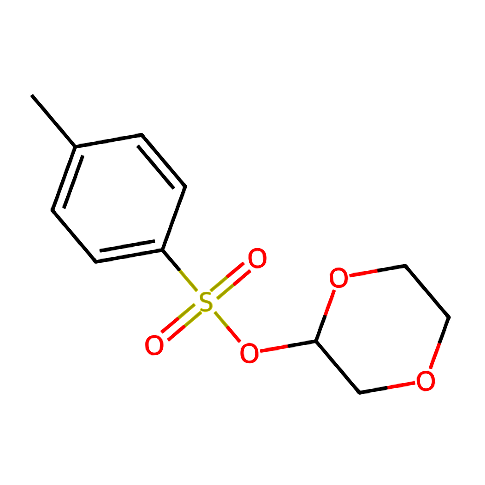 Cc1ccc(S(=O)(=O)OC2COCCO2)cc1